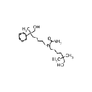 CC(C)(CO)CCCCN(CCCCCC(C)(CO)c1ccccc1)C(N)=O